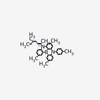 C=C/C(C)=C\C=C(/C)N1c2ccc(C)cc2B2c3cc(C)ccc3N(c3ccc(C)cc3)c3cc(C)cc1c32